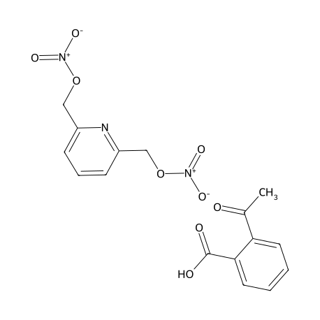 CC(=O)c1ccccc1C(=O)O.O=[N+]([O-])OCc1cccc(CO[N+](=O)[O-])n1